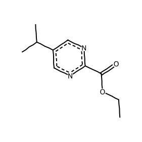 CCOC(=O)c1ncc(C(C)C)cn1